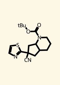 CC(C)(C)OC(=O)N1CCCC2CC(C#N)(c3nccs3)CC21